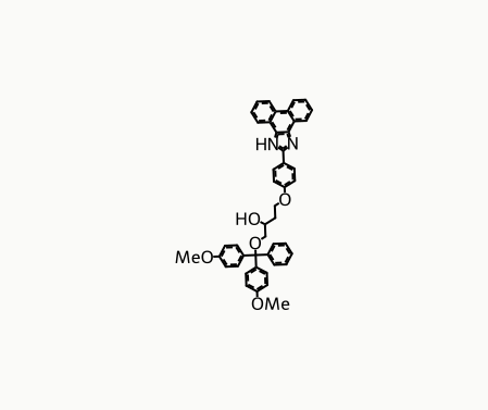 COc1ccc(C(OCC(O)CCOc2ccc(-c3nc4c5ccccc5c5ccccc5c4[nH]3)cc2)(c2ccccc2)c2ccc(OC)cc2)cc1